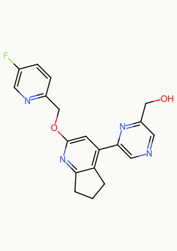 OCc1cncc(-c2cc(OCc3ccc(F)cn3)nc3c2CCC3)n1